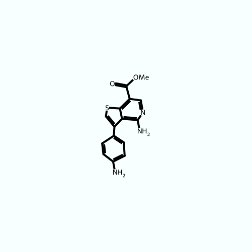 COC(=O)c1cnc(N)c2c(-c3ccc(N)cc3)csc12